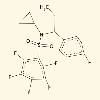 CCC(c1ccc(F)cc1)N(C1CC1)S(=O)(=O)c1c(F)c(F)c(F)c(F)c1F